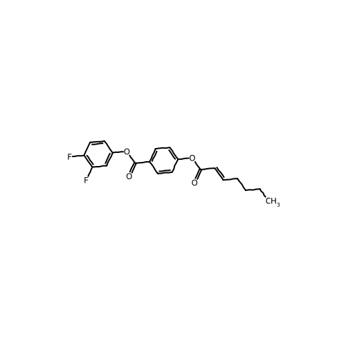 CCCC/C=C/C(=O)Oc1ccc(C(=O)Oc2ccc(F)c(F)c2)cc1